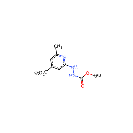 CCOC(=O)c1cc(C)nc(NNC(=O)OC(C)(C)C)c1